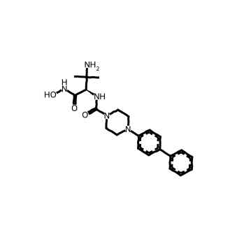 CC(C)(N)[C@@H](NC(=O)N1CCN(c2ccc(-c3ccccc3)cc2)CC1)C(=O)NO